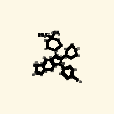 C[C@]1(C(=O)O)CC[C@H](c2c(C3CCOCC3)n(-c3ccc(F)cc3)c3cc4cn[nH]c4nc32)CC1